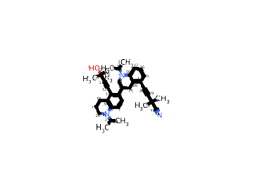 CC(C)N1CC(c2ccc3c(c2C#CC(C)(C)O)CCCN3C(C)C)Cc2c(C#CC(C)(C)C#N)cccc21